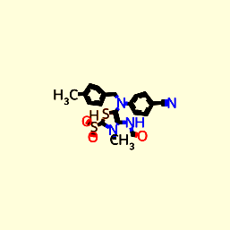 Cc1ccc(CN(C2=C(NC=O)N(C)C([SH](=O)=O)S2)c2ccc(C#N)cc2)cc1